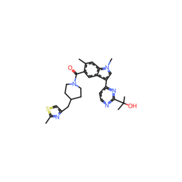 Cc1nc(CC2CCN(C(=O)c3cc4c(-c5ccnc(C(C)(C)O)n5)cn(C)c4cc3C)CC2)cs1